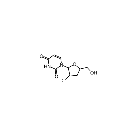 O=c1ccn(C2OC(CO)CC2Cl)c(=O)[nH]1